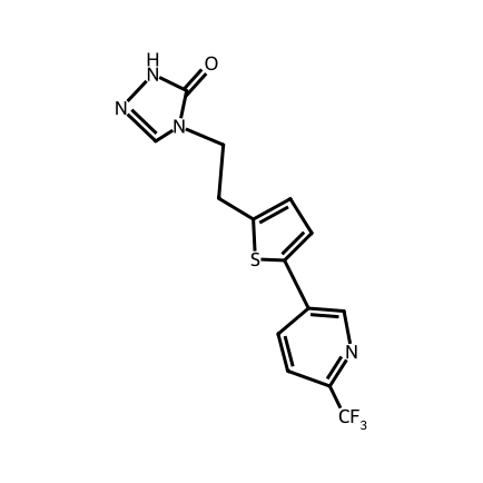 O=c1[nH]ncn1CCc1ccc(-c2ccc(C(F)(F)F)nc2)s1